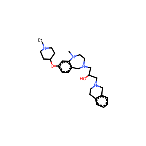 CCN1CCC(Oc2ccc3c(c2)N(C)CCN(CC(O)CN2CCc4ccccc4C2)C3)CC1